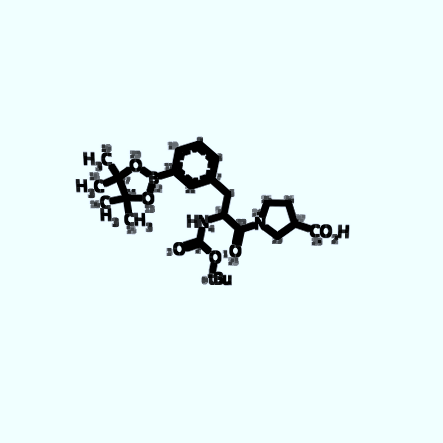 CC(C)(C)OC(=O)NC(Cc1cccc(B2OC(C)(C)C(C)(C)O2)c1)C(=O)N1CCC(C(=O)O)C1